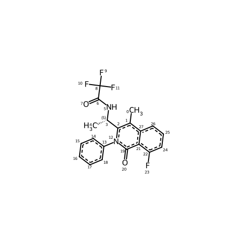 Cc1c([C@H](C)NC(=O)C(F)(F)F)n(-c2ccccc2)c(=O)c2c(F)cccc12